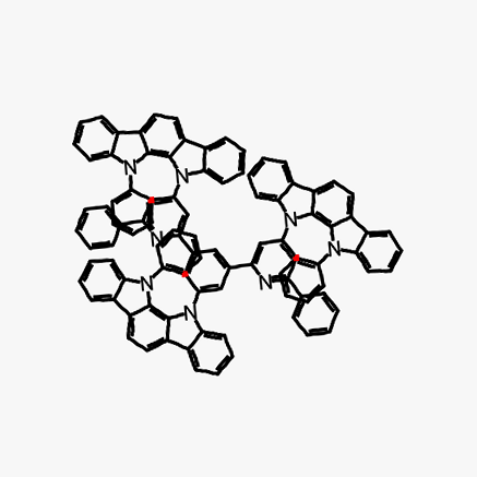 c1ccc(-c2cc(-n3c4ccccc4c4ccc5c6ccccc6n(-c6ccccc6)c5c43)cc(-c3cc(-c4cc(-n5c6ccccc6c6ccc7c8ccccc8n(-c8ccccc8)c7c65)cc(-c5ccccc5)n4)cc(-n4c5ccccc5c5ccc6c7ccccc7n(-c7ccccc7)c6c54)c3)n2)cc1